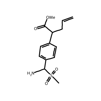 C=CCC(C(=O)OC)c1ccc(C(N)S(C)(=O)=O)cc1